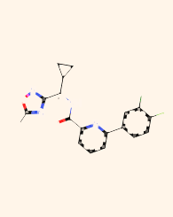 Cc1nc([C@H](NC(=O)c2cccc(-c3ccc(F)c(Cl)c3)n2)C2CC2)no1